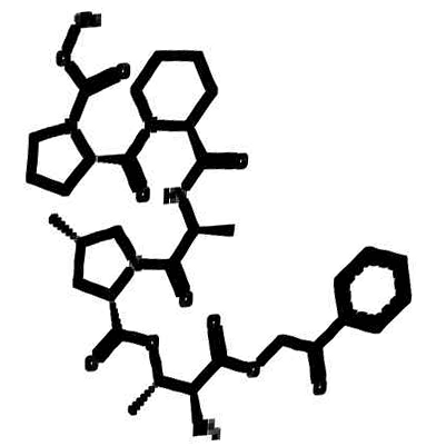 C[C@H]1C[C@@H](C(=O)O[C@@H](C)[C@H](N)C(=O)OCC(=O)c2ccccc2)N(C(=O)[C@H](C)NC(=O)[C@@H]2CCCCN2C(=O)[C@@H]2CCCN2C(=O)OC(C)(C)C)C1